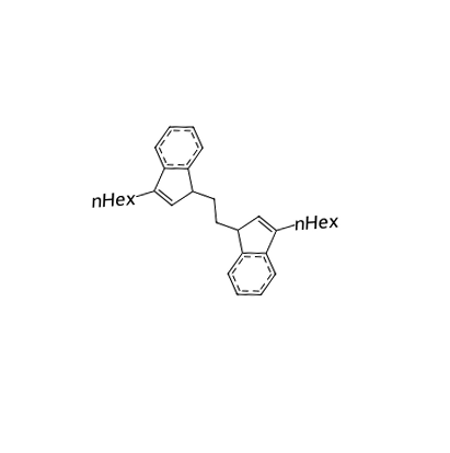 CCCCCCC1=CC(CCC2C=C(CCCCCC)c3ccccc32)c2ccccc21